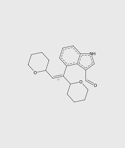 O=Cc1c[nH]c2cccc(/C(=C\C3CCCCO3)C3CCCCO3)c12